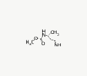 COC(=O)N[C@H](C)CC=N